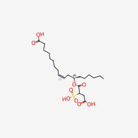 CCCCCC[C@H](C/C=C\CCCCCCCC(=O)O)OC(=O)C(CC(=O)O)S(=O)(=O)O